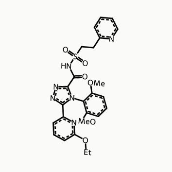 CCOc1cccc(-c2nnc(C(=O)NS(=O)(=O)CCc3ccccn3)n2-c2c(OC)cccc2OC)n1